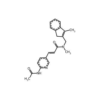 CC(=O)Nc1ccc(C=CC(=O)N(C)CC2=C(C)c3ccccc3C2)cn1